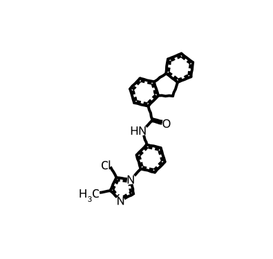 Cc1ncn(-c2cccc(NC(=O)c3cccc4c3Cc3ccccc3-4)c2)c1Cl